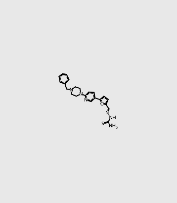 NC(=S)NN=Cc1ccc(-c2ccc(N3CCN(Cc4ccccc4)CC3)nc2)o1